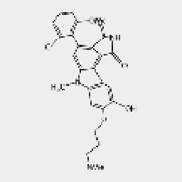 CNCCCOc1cc2c(cc1O)c1c3c(c(-c4c(Cl)cccc4OC)cc1n2C)C(=O)NC3=O